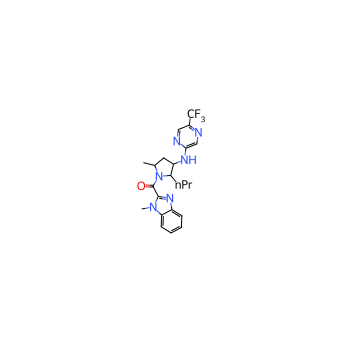 CCCC1C(Nc2cnc(C(F)(F)F)cn2)CC(C)N1C(=O)c1nc2ccccc2n1C